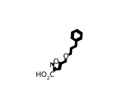 O=C(O)c1cc(COCCCc2ccccc2)on1